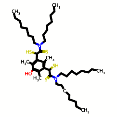 CCCCCCCCN(CCCCCCCC)C(=S)C(S)c1c(C)c(O)c(C)c(C(S)C(=S)N(CCCCCCCC)CCCCCCCC)c1C